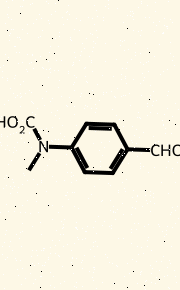 CN(C(=O)O)c1ccc(C=O)cc1